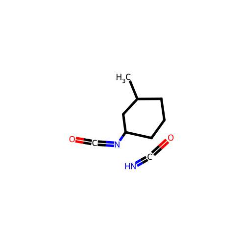 CC1CCCC(N=C=O)C1.N=C=O